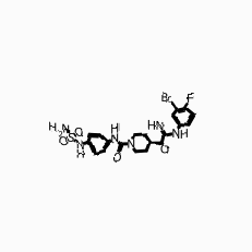 N=C(Nc1ccc(F)c(Br)c1)C(=O)C1CCN(C(=O)Nc2ccc(NS(N)(=O)=O)cc2)CC1